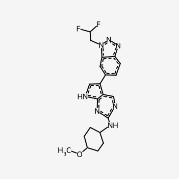 COC1CCC(Nc2ncc3c(-c4ccc5nnn(CC(F)F)c5c4)c[nH]c3n2)CC1